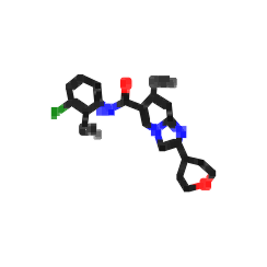 COc1cc2nc(C3CCOCC3)cn2cc1C(=O)Nc1cccc(F)c1C